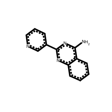 Nc1nc(-c2cccnc2)nc2c[c]ccc12